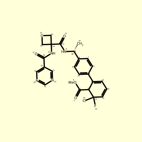 COC(=O)C1C(c2ccc([C@@H](C)NC(=O)C3(NC(=O)c4cncnc4)COC3)cc2)=CC=CC1(F)Cl